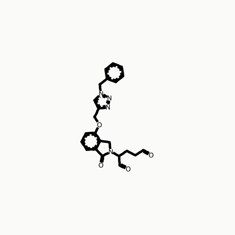 O=CCCC(C=O)N1Cc2c(OCc3cn(Cc4ccccc4)nn3)cccc2C1=O